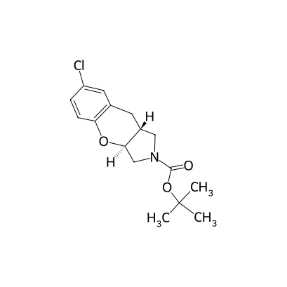 CC(C)(C)OC(=O)N1C[C@H]2Cc3cc(Cl)ccc3O[C@@H]2C1